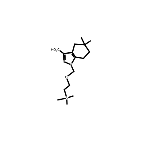 CC1(C)CCc2c(c(C(=O)O)nn2COCC[Si](C)(C)C)C1